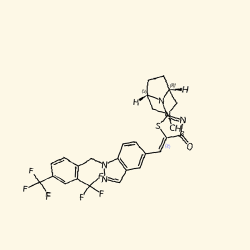 CN1C[C@H]2CC[C@@H](C1)N2C1=NC(=O)/C(=C/c2ccc3c(cnn3Cc3ccc(C(F)(F)F)cc3C(F)(F)F)c2)S1